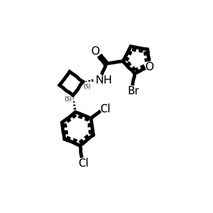 O=C(N[C@H]1CC[C@H]1c1ccc(Cl)cc1Cl)c1ccoc1Br